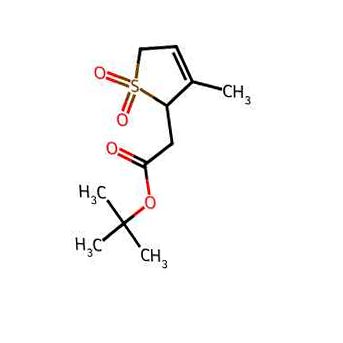 CC1=CCS(=O)(=O)C1CC(=O)OC(C)(C)C